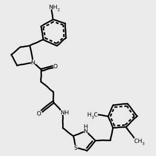 Cc1cccc(C)c1CC1=CSC(CNC(=O)CCC(=O)N2CCCC2c2cccc(N)c2)N1